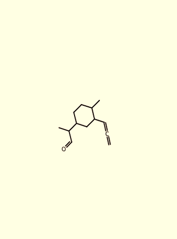 C=C=CC1CC(C(C)C=O)CCC1C